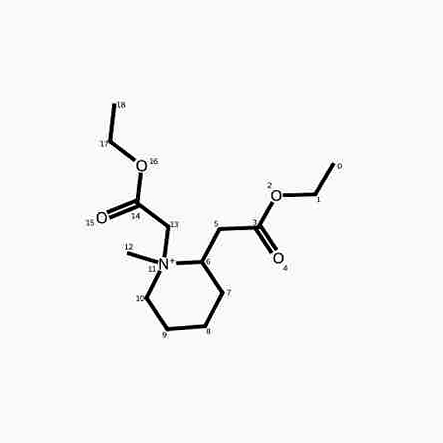 CCOC(=O)CC1CCCC[N+]1(C)CC(=O)OCC